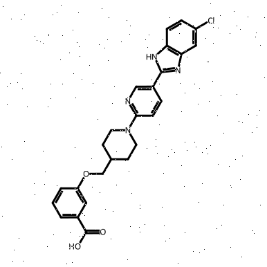 O=C(O)c1cccc(OCC2CCN(c3ccc(-c4nc5cc(Cl)ccc5[nH]4)cn3)CC2)c1